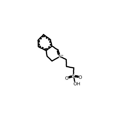 O=S(=O)(O)CCC[N+]1=Cc2ccccc2CC1